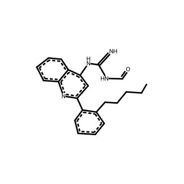 CCCCCc1ccccc1-c1cc(NC(=N)NC=O)c2ccccc2n1